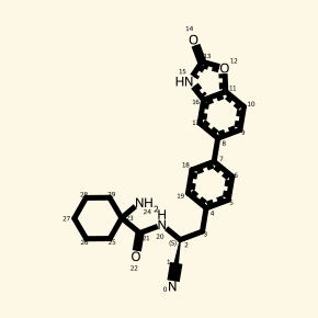 N#C[C@H](Cc1ccc(-c2ccc3oc(=O)[nH]c3c2)cc1)NC(=O)C1(N)CCCCC1